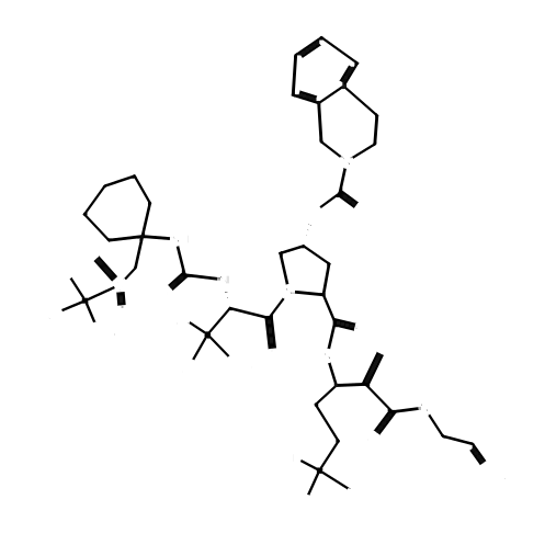 C=CCNC(=O)C(=O)C(CCC(F)(F)F)NC(=O)C1C[C@@H](OC(=O)N2CCc3ccccc3C2)CN1C(=O)[C@@H](NC(=O)NC1(CS(=O)(=O)C(C)(C)C)CCCCC1)C(C)(C)C